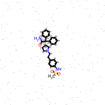 CS(=O)(=O)Nc1ccc(CCN2CC[C@H](C(C(N)=O)(c3ccccc3)c3ccccc3)C2)cc1